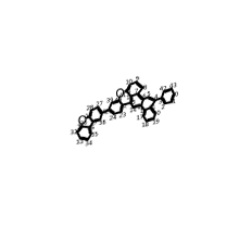 c1ccc(-c2cc3c4cccc5c4c(cc3c3ccccc23)-c2ccc(-c3ccc4oc6ccccc6c4c3)cc2O5)cc1